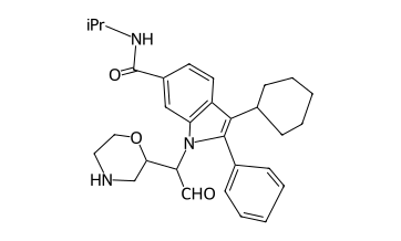 CC(C)NC(=O)c1ccc2c(C3CCCCC3)c(-c3ccccc3)n(C(C=O)C3CNCCO3)c2c1